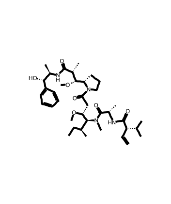 C=C[C@H](C(=O)N[C@@H](C)C(=O)N(C)[C@@H]([C@@H](C)CC)[C@@H](CC(=O)N1CCC[C@H]1[C@H](OC)[C@@H](C)C(=O)N[C@H](C)[C@@H](O)c1ccccc1)OC)C(C)C